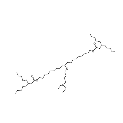 CCCCCC(CCCCC)CC(=O)OCCCCCCCCCC(CCCCCCCCCOC(=O)CC(CCCCC)CCCCC)OCCCCN(CC)CC